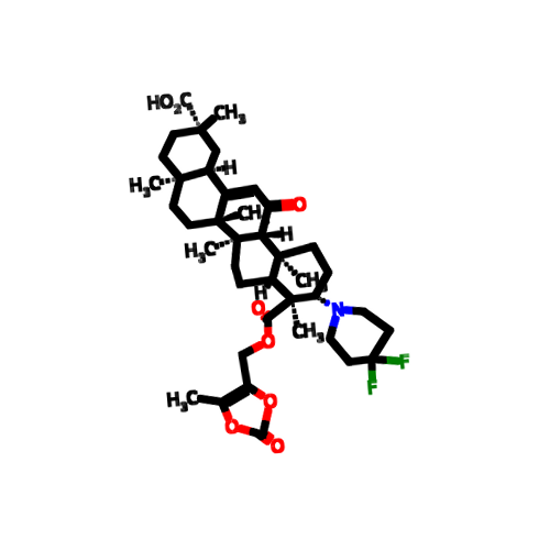 Cc1oc(=O)oc1COC(=O)[C@]1(C)[C@@H](N2CCC(F)(F)CC2)CC[C@@]2(C)[C@H]1CC[C@]1(C)[C@@H]2C(=O)C=C2[C@@H]3C[C@@](C)(C(=O)O)CC[C@]3(C)CC[C@]21C